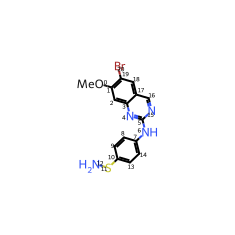 COc1cc2nc(Nc3ccc(SN)cc3)ncc2cc1Br